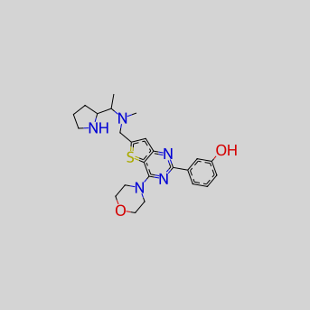 CC(C1CCCN1)N(C)Cc1cc2nc(-c3cccc(O)c3)nc(N3CCOCC3)c2s1